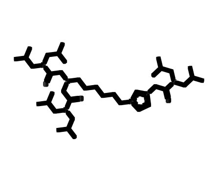 CC(C)CN(CC(C)C)C(=O)CN(CCCCCC[n+]1ccn(CC(=O)N(CC(C)C)CC(C)C)c1)CC(=O)N(CC(C)C)CC(C)C